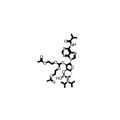 CC(=O)OCCOC(OCCOC(C)=O)O[C@@H]1[C@H](OP(O)N(C)N(C(C)C)C(C)C)[C@@H](C)O[C@H]1n1cnc2c(NC(=O)C(C)C)ncnc21